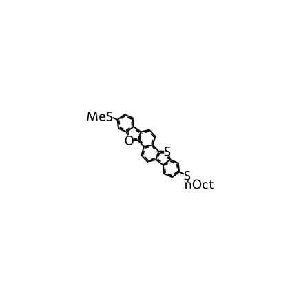 CCCCCCCCSc1ccc2c(c1)sc1c2ccc2c1ccc1c3ccc(SC)cc3oc12